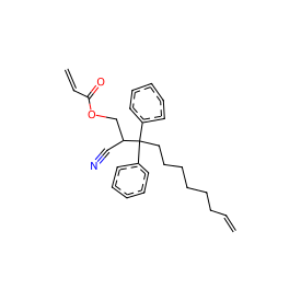 C=CCCCCCCC(c1ccccc1)(c1ccccc1)C(C#N)COC(=O)C=C